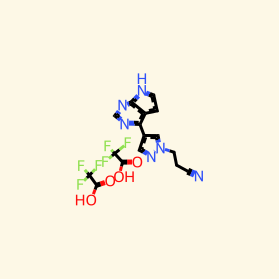 N#CCCn1cc(-c2ncnc3[nH]ccc23)cn1.O=C(O)C(F)(F)F.O=C(O)C(F)(F)F